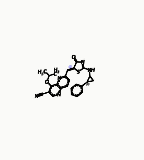 CC(C)Oc1c(C#N)cnc2ccc(/C=C3\SC(NC4C[C@H]4c4ccccc4)=NC3=O)nc12